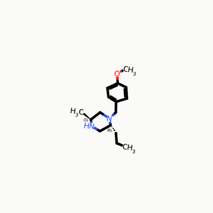 CCC[C@@H]1CN[C@@H](C)CN1Cc1ccc(OC)cc1